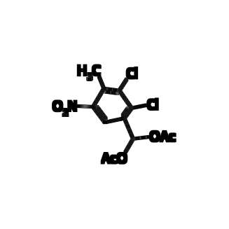 CC(=O)OC(OC(C)=O)c1cc([N+](=O)[O-])c(C)c(Cl)c1Cl